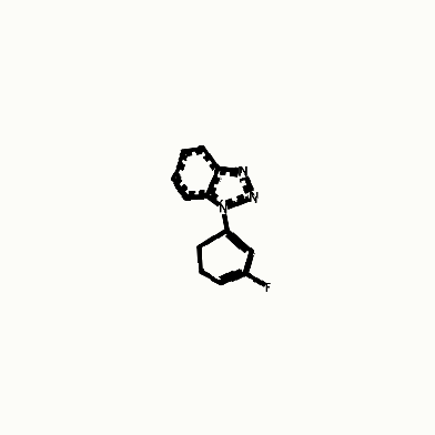 FC1=CCCC(n2nnc3ccccc32)=C1